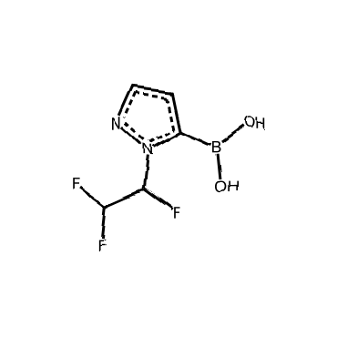 OB(O)c1ccnn1C(F)C(F)F